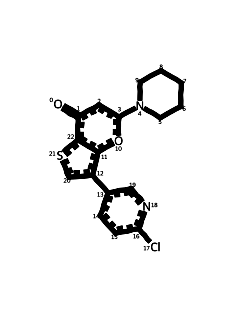 O=c1cc(N2CCCCC2)oc2c(-c3ccc(Cl)nc3)csc12